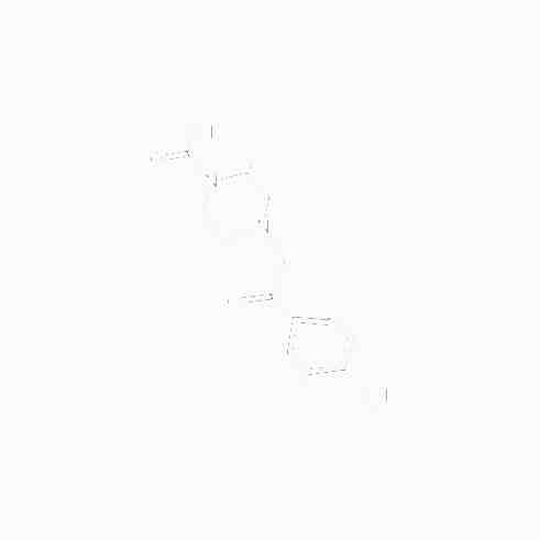 CC(=O)N1CCN(CC(=O)c2ccc(C)cc2)CC1